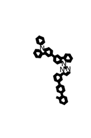 CC1=C(C2C=CC(C3=CC(c4ccnc(-n5c6ccccc6c6cc(-c7ccc8c(c7)c7ccccc7n8-c7ccccc7)ccc65)n4)CC=C3)=CC2)C=CCC1